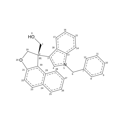 OC[C@]1(c2cn(Cc3ccccc3)c3ccccc23)COc2ccc3ccccc3c21